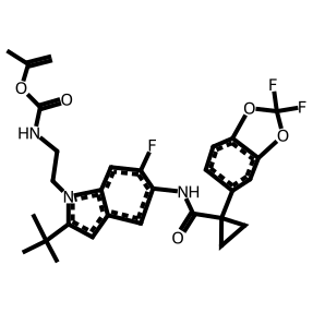 C=C(C)OC(=O)NCCn1c(C(C)(C)C)cc2cc(NC(=O)C3(c4ccc5c(c4)OC(F)(F)O5)CC3)c(F)cc21